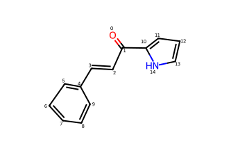 O=C(C=Cc1ccccc1)c1ccc[nH]1